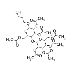 CC(=O)OCC1OC(OCCCO)[C@H](OC(C)=O)C(OC(C)=O)C1O[C@H]1OC(COC(C)=O)[C@@H](OC(C)=O)[C@H](OC(C)=O)[C@H]1OC(C)=O